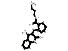 CCCCOC(=O)c1ccccc1Cc1c(O)c2ccccc2oc1=O